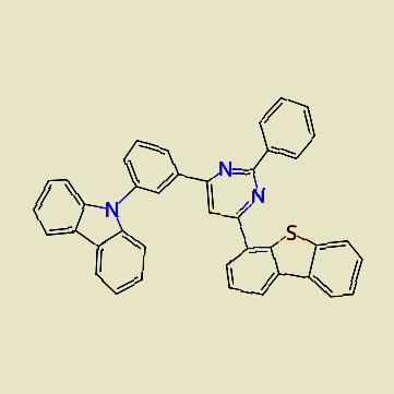 c1ccc(-c2nc(-c3cccc(-n4c5ccccc5c5ccccc54)c3)cc(-c3cccc4c3sc3ccccc34)n2)cc1